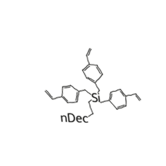 C=Cc1ccc(C[Si](CCCCCCCCCCCC)(Cc2ccc(C=C)cc2)Cc2ccc(C=C)cc2)cc1